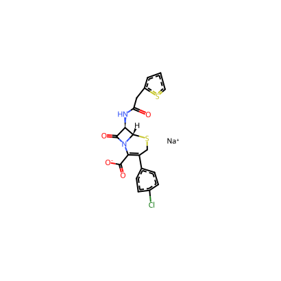 O=C(Cc1cccs1)N[C@@H]1C(=O)N2C(C(=O)[O-])=C(c3ccc(Cl)cc3)CS[C@@H]12.[Na+]